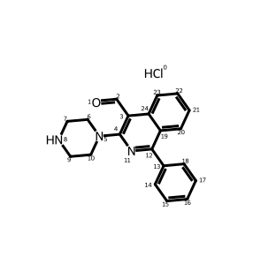 Cl.O=Cc1c(N2CCNCC2)nc(-c2ccccc2)c2ccccc12